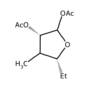 CC[C@H]1OC(OC(C)=O)[C@@H](OC(C)=O)C1C